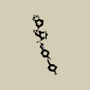 COc1cccc(-n2ncc3c(N/N=C/c4ccc(OCc5ccc(F)cc5)cc4)ncnc32)c1